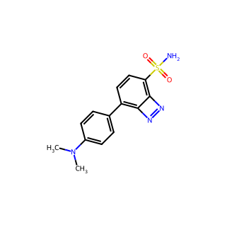 CN(C)c1ccc(-c2ccc(S(N)(=O)=O)c3c2N=N3)cc1